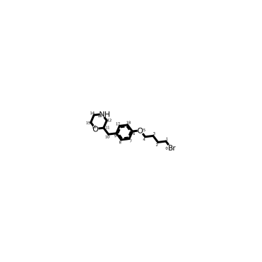 BrCCCCOc1ccc(CC2CNCCO2)cc1